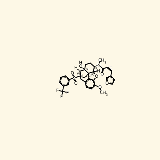 COc1ccc2c3c1O[C@H]1[C@H](N(C)C(=O)/C=C\c4ccoc4)CC[C@@]4(O)[C@@H](C2)N(S(=O)(=O)c2cccc(C(F)(F)F)c2)CC[C@]314